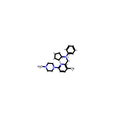 CN1CCN(c2ccc(C#N)c(CN(c3ccccc3)C3CCCC3)n2)CC1